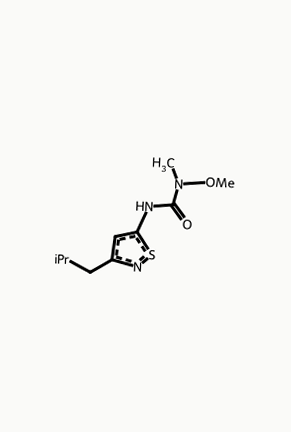 CON(C)C(=O)Nc1cc(CC(C)C)ns1